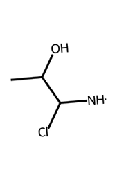 CC(O)C([NH])Cl